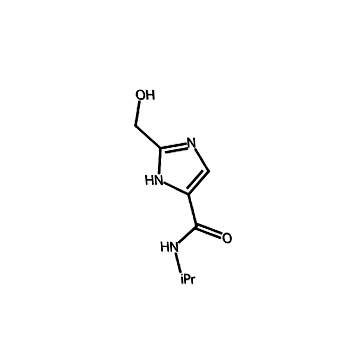 CC(C)NC(=O)c1cnc(CO)[nH]1